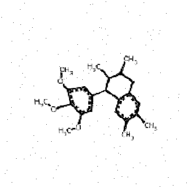 COc1cc([C@@H]2c3cc(C)c(C)cc3CC(C)C2C)cc(OC)c1OC